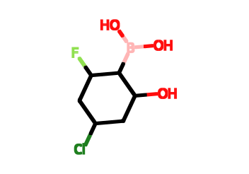 OB(O)C1C(O)CC(Cl)CC1F